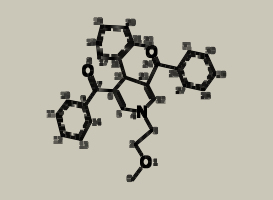 COCCN1C=C(C(=O)c2ccccc2)C(c2ccccc2C)C(C(=O)c2ccccc2)=C1